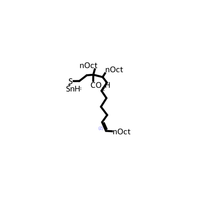 CCCCCCCC/C=C\CCCCCC(CCCCCCCC)C(CCCCCCCC)(CC[S][SnH])C(=O)O